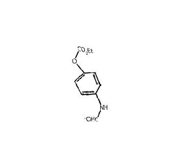 CCOC(=O)Oc1ccc(N[C]=O)cc1